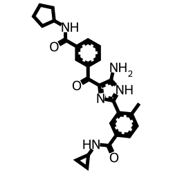 Cc1ccc(C(=O)NC2CC2)cc1-c1nc(C(=O)c2cccc(C(=O)NC3CCCC3)c2)c(N)[nH]1